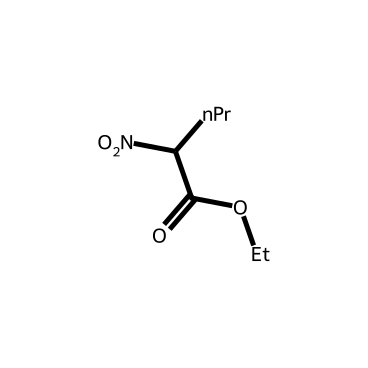 CCCC(C(=O)OCC)[N+](=O)[O-]